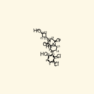 O=C1[C@@H]2C[C@H](c3c(O)ccc(Cl)c3Cl)CCN2C(=O)CN1C1CC(O)C1